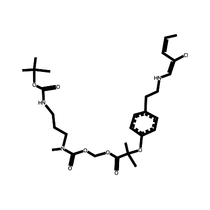 C/C=C\C(Cl)=C/NCCc1ccc(OC(C)(C)C(=O)OCOC(=O)N(C)CCCNC(=O)OC(C)(C)C)cc1